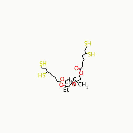 CCC(C)(CCOC(C)(C)CCOC(=O)CCCCC(S)CCS)OC(=O)CCCCC(S)CCS